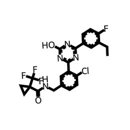 CCc1cc(-c2nc(O)nc(-c3cc(CNC(=O)C4(C(F)(F)F)CC4)ccc3Cl)n2)ccc1F